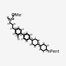 CCCCCC1CCC(C2CCC(c3ccc(-c4ccc(CCCN(C)SOC)cc4C)cc3)CC2)CC1